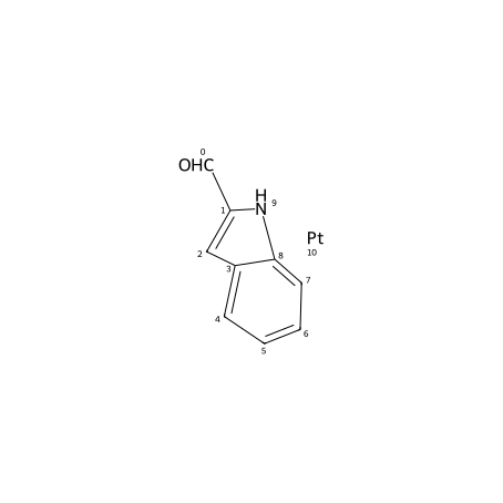 O=Cc1cc2ccccc2[nH]1.[Pt]